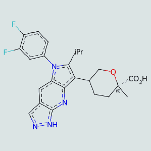 CC(C)c1c(C2CC[C@@](C)(C(=O)O)OC2)c2nc3[nH]ncc3cc2n1-c1ccc(F)c(F)c1